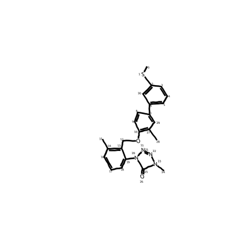 CSc1cccc(-c2ccc(OCc3c(C)cccc3-n3nnn(C)c3=O)c(C)c2)c1